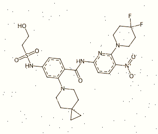 O=C(Nc1ccc([N+](=O)[O-])c(N2CCC(F)(F)CC2)n1)c1ccc(NS(=O)(=O)CCO)cc1N1CCC2(CC1)CC2